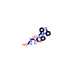 C[C@H](NCCO)C(=O)N[C@H]1COc2ccccc2N(Cc2nn(-c3ccccc3C#N)c3ccccc23)C1=O